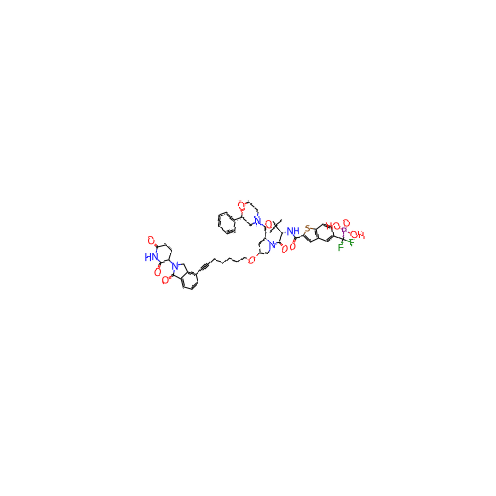 CC(C)(C)[C@H](NC(=O)c1cc2cc(C(F)(F)P(=O)(O)O)ccc2s1)C(=O)N1C[C@@H](OCCCCCC#Cc2cccc3c2CN(C2CCC(=O)NC2=O)C3=O)C[C@H]1C(=O)N1CCOC(c2ccccc2)C1